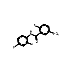 O=C(Nc1ccc(F)cc1F)c1cc([N+](=O)[O-])ccc1F